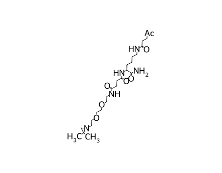 CC(=O)CCC(=O)NCCCC[C@H](NC(=O)CCC(=O)NCCOCCOCCN1CC1(C)C)C(N)=O